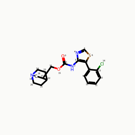 O=C(Nc1ncsc1-c1ccccc1Cl)OCC1CN2CCC1CC2